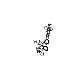 CN(c1cccc(N2CC3(C2)CN(S(=O)(=O)C2CC2)C3)c1)c1nc2nnc(Cl)n2c2ccccc12